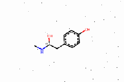 CN[C@@H](O)Cc1ccc(O)cc1